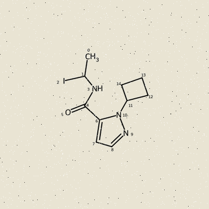 CC(I)NC(=O)c1ccnn1C1CCC1